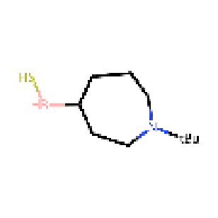 CC(C)(C)N1CCCC(BS)CC1